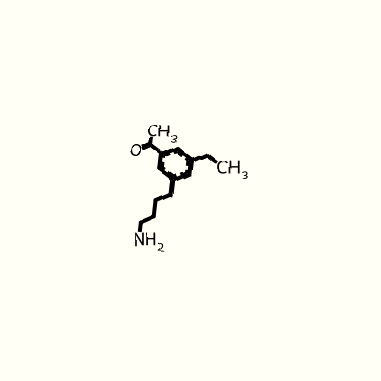 CCc1cc(CCCCN)cc(C(C)=O)c1